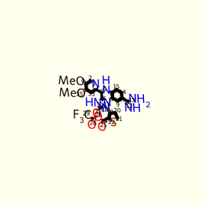 COc1cnc(C(Nc2ccc(C(=N)N)cc2)c2nn(-c3ccsc3C(=O)OC(=O)C(F)(F)F)c(=O)[nH]2)cc1OC